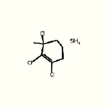 CC1(Cl)CCCC(Cl)=C1Cl.[SiH4]